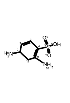 N[C]1C=CC(S(=O)(=O)O)=C(N)C1